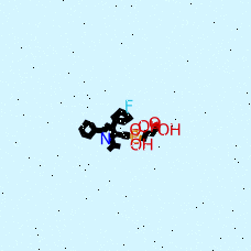 CC(C)c1nc(C2CCCCC2)cc(-c2ccc(F)cc2)c1C#CP(=O)(O)C[C@@H](O)CC(=O)O